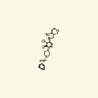 O=c1c(Cl)c(NCC2COCCC2O)cnn1C1CCN(SNc2ccccc2)CC1